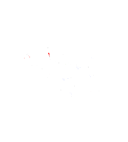 CCOc1nc(N)nc2c1ncn2[C@@H]1O[C@H](CO)[C@@H](O)C1(C)F